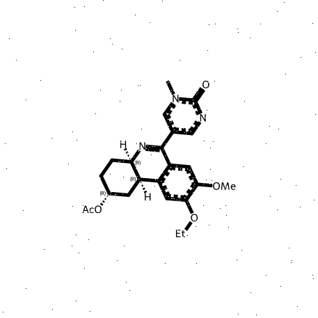 CCOc1cc2c(cc1OC)C(c1cnc(=O)n(C)c1)=N[C@@H]1CC[C@@H](OC(C)=O)C[C@H]21